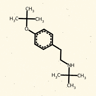 CC(C)(C)NCCc1ccc(OC(C)(C)C)cc1